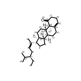 CC[C@H](C/C=C(/C)[C@H]1CC[C@H]2[C@@H]3CCC4=CCCC(=O)[C@]4(C)[C@H]3CC[C@]12C)C(C)C